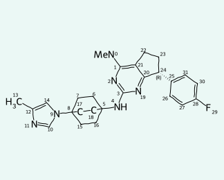 CNc1nc(NC23CCC(n4cnc(C)c4)(CC2)CC3)nc2c1CC[C@@H]2c1ccc(F)cc1